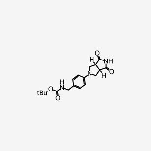 CC(C)(C)OC(=O)NCc1ccc(N2C[C@@H]3C(=O)NC(=O)[C@@H]3C2)cc1